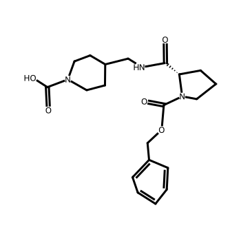 O=C(NCC1CCN(C(=O)O)CC1)[C@@H]1CCCN1C(=O)OCc1ccccc1